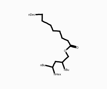 CCCCCCCCCCCCCCCCCC(=O)OCC(CCCC)CC(CCCC)CCCCCC